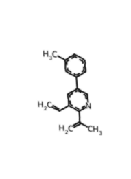 C=Cc1cc(-c2cccc(C)c2)cnc1C(=C)C